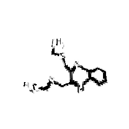 CCSCc1nc2ccccc2nc1CSCC